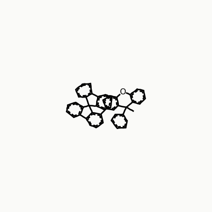 CC1(c2ccccc2)c2ccccc2Oc2ccc(-c3cccc4c3C3(c5ccccc5-c5ccccc53)c3ccccc3-4)cc21